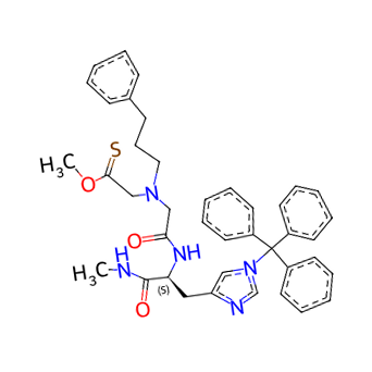 CNC(=O)[C@H](Cc1cn(C(c2ccccc2)(c2ccccc2)c2ccccc2)cn1)NC(=O)CN(CCCc1ccccc1)CC(=S)OC